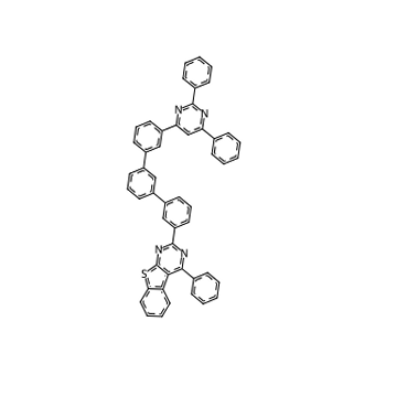 c1ccc(-c2cc(-c3cccc(-c4cccc(-c5cccc(-c6nc(-c7ccccc7)c7c(n6)sc6ccccc67)c5)c4)c3)nc(-c3ccccc3)n2)cc1